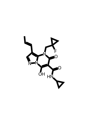 C/C=C/c1cnn2c(O)c(C(=O)NC3CC3)c(=O)n(CC3(F)CC3)c12